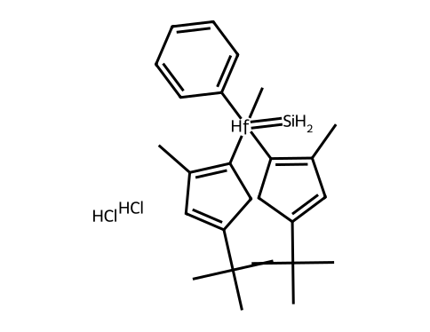 CC1=[C]([Hf]([CH3])(=[SiH2])([C]2=C(C)C=C(C(C)(C)C)C2)[c]2ccccc2)CC(C(C)(C)C)=C1.Cl.Cl